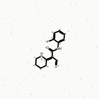 O=C/C(C(=O)Nc1ccccc1F)=C1\CCCCN1